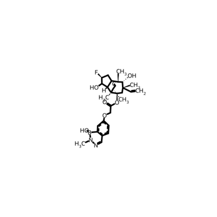 C=C[C@]1(C)C[C@@H](OC(=O)COc2ccc3c(c2)B(O)N(C)N=C3)[C@]2(C)[C@H](C)CC[C@]3(C[C@H](F)C(O)[C@H]32)[C@@H](C)[C@@H]1O